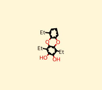 CCc1cccc2c1Oc1c(CC)c(O)c(O)c(CC)c1O2